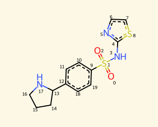 O=S(=O)(Nc1nccs1)c1ccc(C2CCCN2)cc1